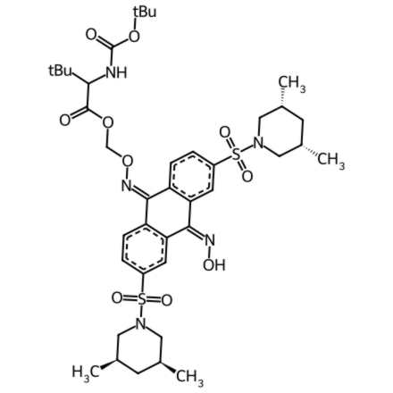 C[C@@H]1C[C@H](C)CN(S(=O)(=O)c2ccc3c(c2)C(=NO)c2cc(S(=O)(=O)N4C[C@H](C)C[C@H](C)C4)ccc2C3=NOCOC(=O)C(NC(=O)OC(C)(C)C)C(C)(C)C)C1